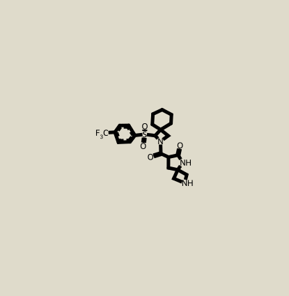 O=C1NC2(CNC2)CC1C(=O)N1CC2(CCCCC2)C1S(=O)(=O)c1ccc(C(F)(F)F)cc1